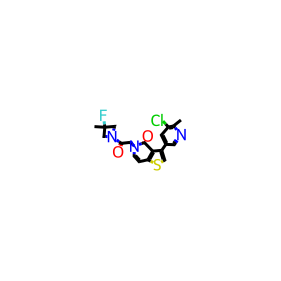 Cc1ncc(-c2csc3ccn(CC(=O)N4CC(C)(F)C4)c(=O)c23)cc1Cl